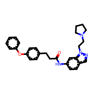 O=C(CCc1ccc(Oc2ccccc2)cc1)Nc1ccc2cnn(CCN3CCCC3)c2c1